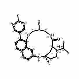 Cc1ncc(-c2ccc3ncc4cc3c2OCC(F)CNC(=O)[C@@H]2C[C@H](CCN2C(C)C)N4)cn1